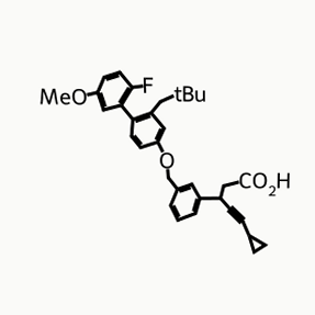 COc1ccc(F)c(-c2ccc(OCc3cccc(C(C#CC4CC4)CC(=O)O)c3)cc2CC(C)(C)C)c1